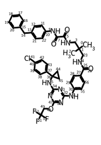 CC(C)(CNC(=O)C(=O)Nc1ccc(Cc2ccccc2)cc1)CNC(=O)c1ccc(Nc2nc(NC3(c4ccc(Cl)cc4)CC3)nc(OCC(F)(F)F)n2)cc1